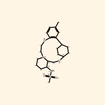 Cc1ccc2c(c1)C1CCC(CC1)OCC1C(NS(C)(=O)=O)CCCN1CCO2